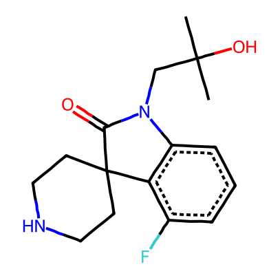 CC(C)(O)CN1C(=O)C2(CCNCC2)c2c(F)cccc21